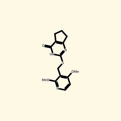 COc1ccnc(OC)c1CSc1nc2c(c(=O)[nH]1)CCC2